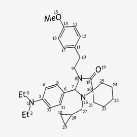 CCN(CC)c1ccc(C2N(CCc3ccc(OC)cc3)C(=O)C3(CCCCC3)N2CC2CC2)cc1